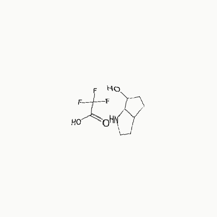 O=C(O)C(F)(F)F.OC1CCC2CCNC12